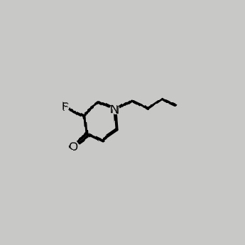 CCCCN1CCC(=O)C(F)C1